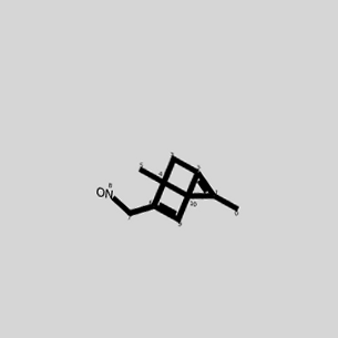 CC1=C2CC3(C)C(CN=O)=CC123